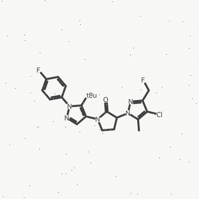 Cc1c(Cl)c(CF)nn1C1CCN(c2cnn(-c3ccc(F)cc3)c2C(C)(C)C)C1=O